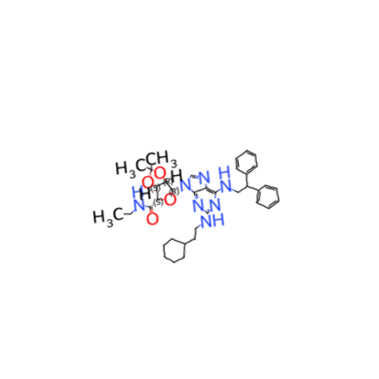 CCNC(=O)[C@H]1O[C@@H](n2cnc3c(NCC(c4ccccc4)c4ccccc4)nc(NCCC4CCCCC4)nc32)[C@@H]2OC(C)(C)O[C@@H]21